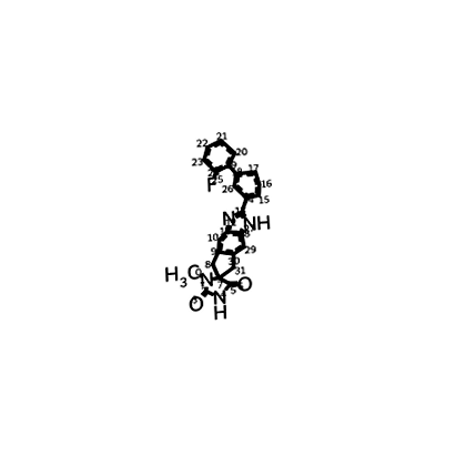 CN1C(=O)NC(=O)C12Cc1cc3nc(-c4cccc(-c5ccccc5F)c4)[nH]c3cc1C2